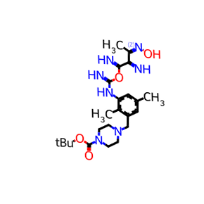 C/C(=N/O)C(=N)C(=N)OC(=N)Nc1cc(C)cc(CN2CCN(C(=O)OC(C)(C)C)CC2)c1C